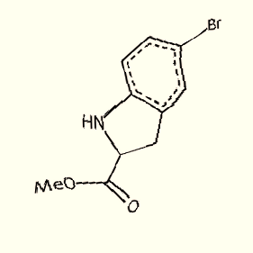 COC(=O)C1Cc2cc(Br)ccc2N1